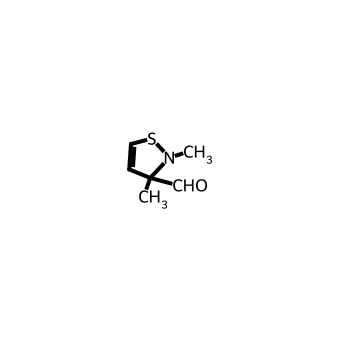 CN1SC=CC1(C)C=O